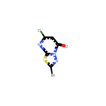 CCc1nn2c(=O)cc(Cl)nc2s1